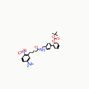 CN(C)c1ccc([N+](=O)[O-])c(CCCCC(=O)NCc2ccc(-c3ccccc3OC(=O)OC(C)(C)C)cc2)c1